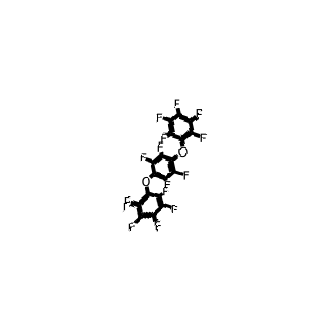 Fc1c(F)c(F)c(Oc2c(F)c(F)c(Oc3c(F)c(F)c(F)c(F)c3F)c(F)c2F)c(F)c1F